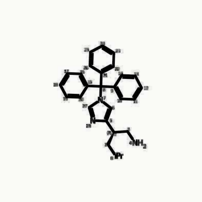 CC(C)C[C@H](CN)c1cn(C(c2ccccc2)(c2ccccc2)c2ccccc2)cn1